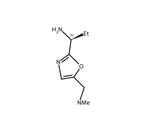 CC[C@H](N)c1ncc(CNC)o1